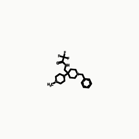 CN1CCN(C2(CNC(=O)C(F)(F)F)CCN(Cc3ccccc3)CC2)CC1